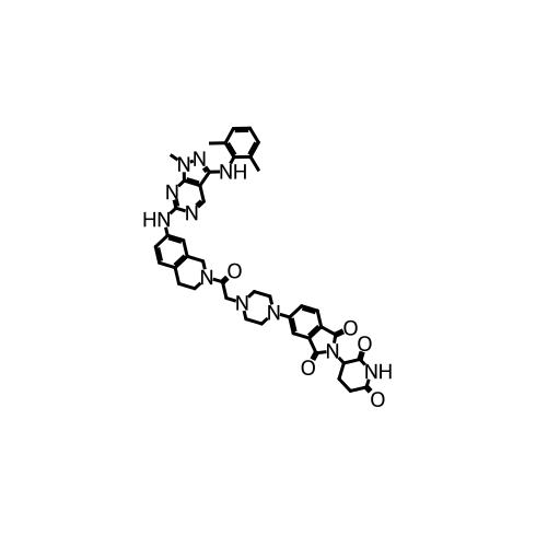 Cc1cccc(C)c1Nc1nn(C)c2nc(Nc3ccc4c(c3)CN(C(=O)CN3CCN(c5ccc6c(c5)C(=O)N(C5CCC(=O)NC5=O)C6=O)CC3)CC4)ncc12